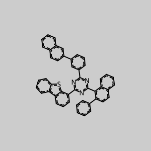 c1ccc(-c2ccc3ccccc3c2-c2nc(-c3cccc(-c4ccc5ccccc5c4)c3)nc(-c3cccc4c3sc3ccccc34)n2)cc1